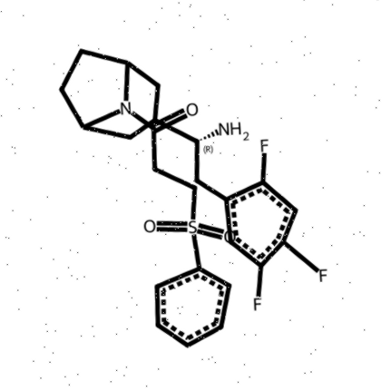 N[C@H](Cc1cc(F)c(F)cc1F)C1CC2CCC(C1)N2C(=O)CCS(=O)(=O)c1ccccc1